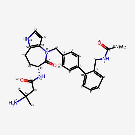 CNC(=O)NCc1ccccc1-c1ccc(CN2C(=O)[C@H](NC(=O)CC(C)(C)N)CCc3[nH]ccc32)cc1